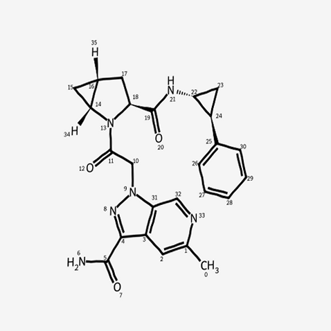 Cc1cc2c(C(N)=O)nn(CC(=O)N3[C@@H]4C[C@@H]4C[C@H]3C(=O)N[C@@H]3C[C@H]3c3ccccc3)c2cn1